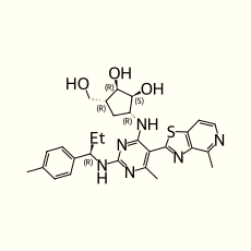 CC[C@@H](Nc1nc(C)c(-c2nc3c(C)nccc3s2)c(N[C@@H]2C[C@H](CO)[C@@H](O)[C@H]2O)n1)c1ccc(C)cc1